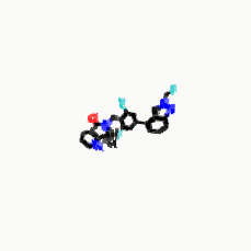 [2H]C1([2H])c2ncccc2C(=O)N1Cc1c(F)cc(-c2cccc3nn(CF)cc23)cc1F